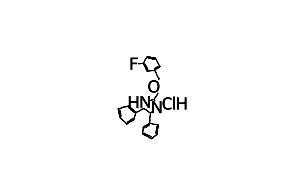 Cl.Fc1cccc(COCC2=NC(c3ccccc3)C(c3ccccc3)N2)c1